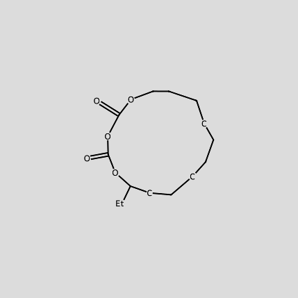 CCC1CCCCCCCCCOC(=O)OC(=O)O1